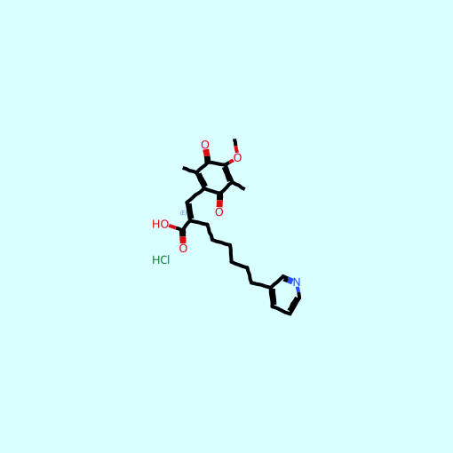 COC1=C(C)C(=O)C(/C=C(\CCCCCCc2cccnc2)C(=O)O)=C(C)C1=O.Cl